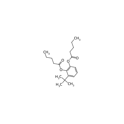 CCCCC(=O)Oc1cccc(C(C)(C)C)c1OC(=O)CCCC